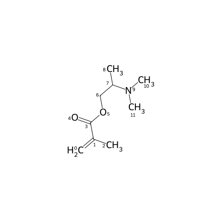 C=C(C)C(=O)OCC(C)N(C)C